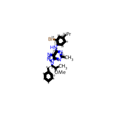 COC(C)[C@H](Cc1ccccc1)n1nnc2c(Nc3ccc(C(C)C)cc3Br)nc(C)nc21